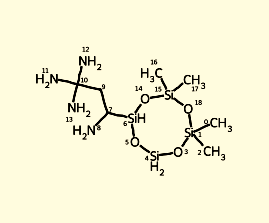 C[Si]1(C)O[SiH2]O[SiH](C(N)CC(N)(N)N)O[Si](C)(C)O1